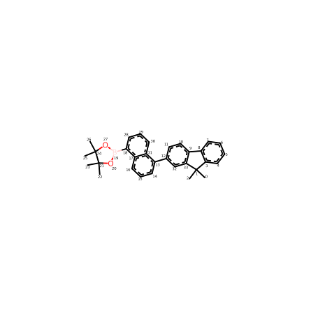 CC1(C)c2ccccc2-c2ccc(-c3cccc4c(B5OC(C)(C)C(C)(C)O5)cccc34)cc21